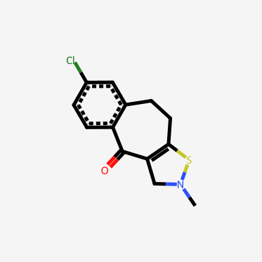 CN1CC2=C(CCc3cc(Cl)ccc3C2=O)S1